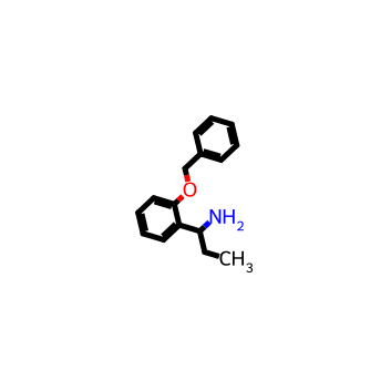 CCC(N)c1ccccc1OCc1ccccc1